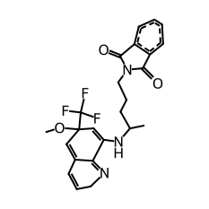 COC1(C(F)(F)F)C=C2C=CCN=C2C(NC(C)CCCN2C(=O)c3ccccc3C2=O)=C1